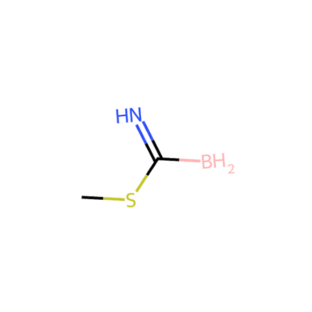 BC(=N)SC